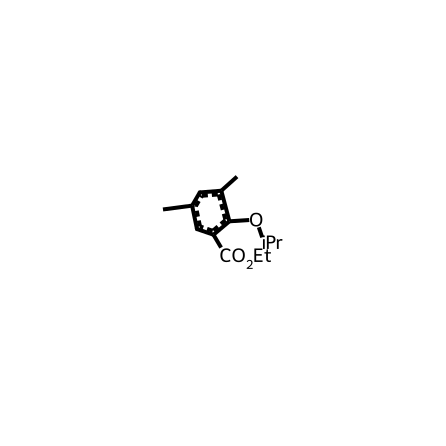 CCOC(=O)c1cc(C)cc(C)c1OC(C)C